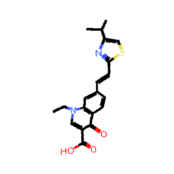 CCn1cc(C(=O)O)c(=O)c2ccc(C=Cc3nc(C(C)C)cs3)cc21